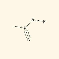 CP(#N)SF